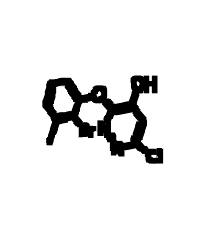 Cc1cccc(Oc2nnc(Cl)cc2O)c1Br